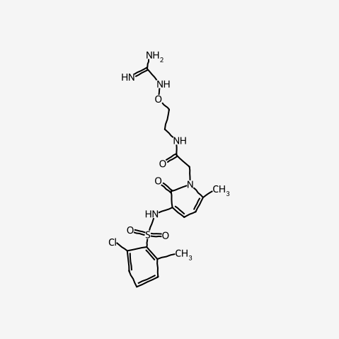 Cc1cccc(Cl)c1S(=O)(=O)Nc1ccc(C)n(CC(=O)NCCONC(=N)N)c1=O